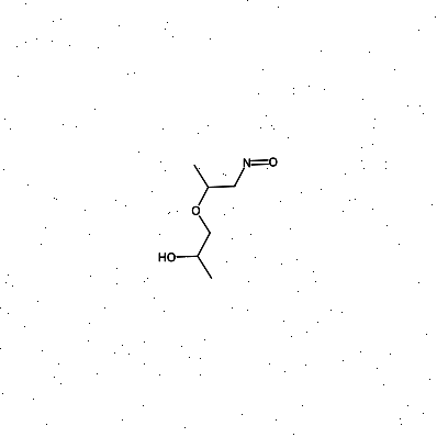 CC(O)COC(C)CN=O